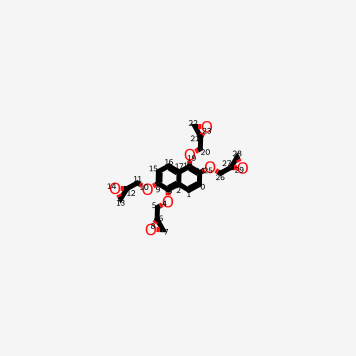 c1cc2c(OCC3CO3)c(OCC3CO3)ccc2c(OCC2CO2)c1OCC1CO1